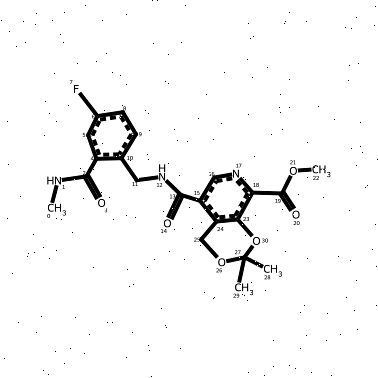 CNC(=O)c1cc(F)ccc1CNC(=O)c1cnc(C(=O)OC)c2c1COC(C)(C)O2